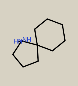 C1CCC2(CC1)CCCC21CCNN1